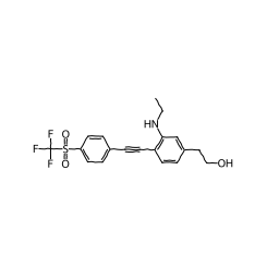 CCNc1cc(CCO)ccc1C#Cc1ccc(S(=O)(=O)C(F)(F)F)cc1